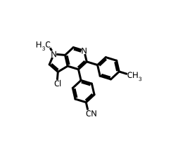 Cc1ccc(-c2ncc3c(c(Cl)cn3C)c2-c2ccc(C#N)cc2)cc1